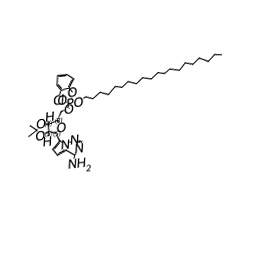 CCCCCCCCCCCCCCCCCCCCOP(=O)(OC[C@H]1O[C@@H](c2ccc3c(N)ncnn23)[C@@H]2OC(C)(C)O[C@@H]21)Oc1ccccc1Cl